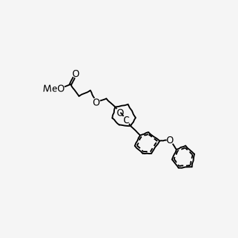 COC(=O)CCOCC12CCC(c3cccc(Oc4ccccc4)c3)(CC1)CO2